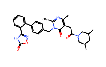 CCCCc1nc(C)c(CC(=O)N2CC(C)CC(C)C2)c(=O)n1Cc1ccc(-c2ccccc2-c2noc(=O)[nH]2)cc1